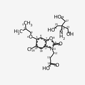 CC(C)COc1cc2oc(=O)n(CCC(=O)O)c2cc1Cl.NC(CO)(CO)CO